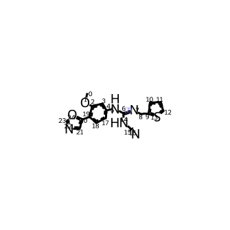 COc1cc(N/C(=N/Cc2cccs2)NC#N)ccc1-c1cnco1